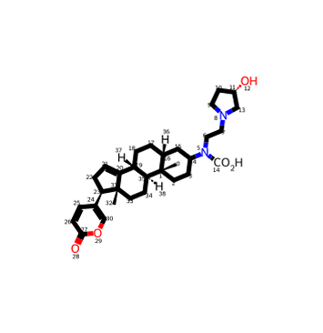 C[C@]12CCC(N(CCN3CC[C@H](O)C3)C(=O)O)C[C@H]1CC[C@H]1C3=CC[C@H](c4ccc(=O)oc4)[C@@]3(C)CC[C@@H]12